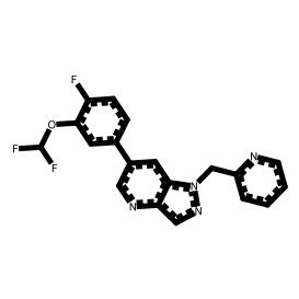 Fc1ccc(-c2cnc3cnn(Cc4ccccn4)c3c2)cc1OC(F)F